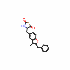 Cc1c(Cc2ccccc2)oc2ccc(CC3NC(=O)SC3=O)cc12